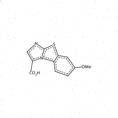 COc1ccc2c(c1)sc1ncc(C(=O)O)n12